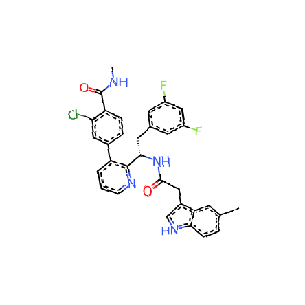 CNC(=O)c1ccc(-c2cccnc2[C@H](Cc2cc(F)cc(F)c2)NC(=O)Cc2c[nH]c3ccc(C)cc23)cc1Cl